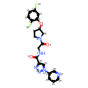 O=C(NCC(=O)N1CCC(Oc2cc(F)ccc2F)C1)c1cn(-c2cccnc2)nn1